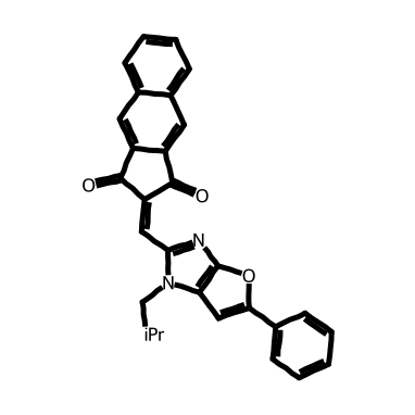 CC(C)Cn1c(C=C2C(=O)c3cc4ccccc4cc3C2=O)nc2oc(-c3ccccc3)cc21